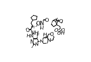 CC1(C)C2CCC1(CS(=O)(=O)O)C(=O)C2.Cc1nc(NNC(=O)[C@@H](CONC=O)CC2CCCC2)c(F)c(N2CCN3CCOC[C@@H]3C2)n1